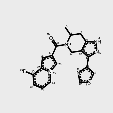 CC1Cc2[nH]nc(-c3cscn3)c2CN1C(=O)c1cc2c(F)cccn2c1